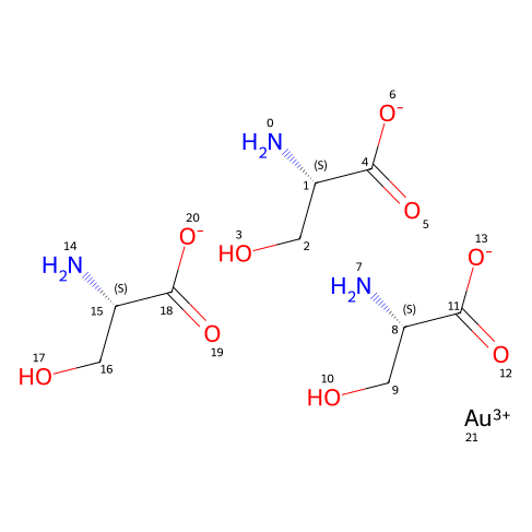 N[C@@H](CO)C(=O)[O-].N[C@@H](CO)C(=O)[O-].N[C@@H](CO)C(=O)[O-].[Au+3]